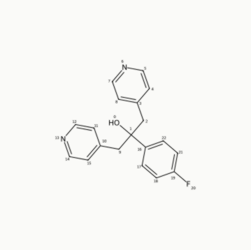 OC(Cc1ccncc1)(Cc1ccncc1)c1ccc(F)cc1